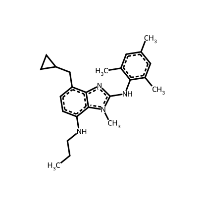 CCCNc1ccc(CC2CC2)c2nc(Nc3c(C)cc(C)cc3C)n(C)c12